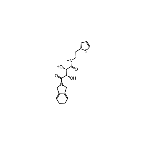 O=C(NCCc1cccs1)[C@H](O)[C@@H](O)C(=O)N1CC2=CCCC=C2C1